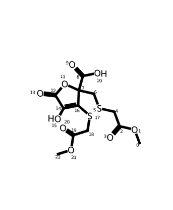 COC(=O)CSCC1(C(=O)O)OC(=O)C(O)=C1SCC(=O)OC